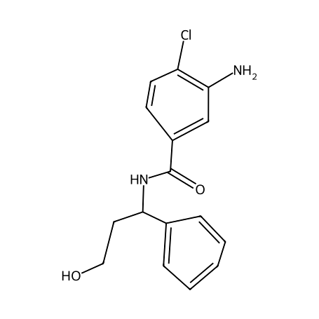 Nc1cc(C(=O)NC(CCO)c2ccccc2)ccc1Cl